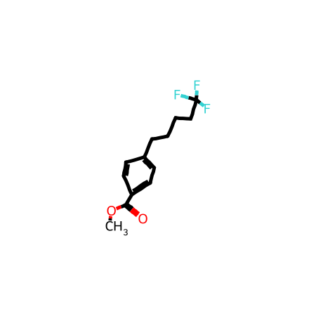 COC(=O)c1ccc(CCCCC(F)(F)F)cc1